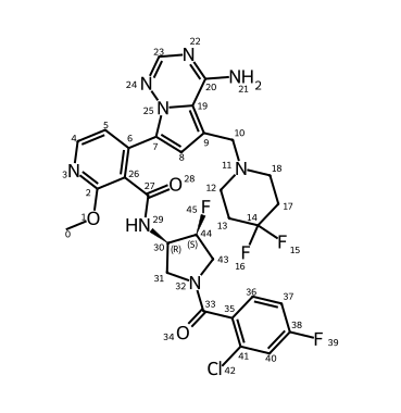 COc1nccc(-c2cc(CN3CCC(F)(F)CC3)c3c(N)ncnn23)c1C(=O)N[C@@H]1CN(C(=O)c2ccc(F)cc2Cl)C[C@@H]1F